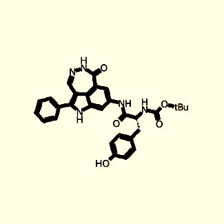 CC(C)(C)OC(=O)N[C@H](Cc1ccc(O)cc1)C(=O)Nc1cc2c3c(c(-c4ccccc4)[nH]c3c1)C=NNC2=O